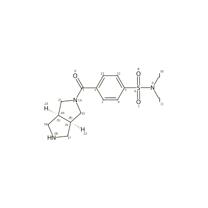 O=C(c1ccc(S(=O)(=O)N(I)I)cc1)N1C[C@H]2CNC[C@H]2C1